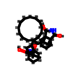 O=C1NC(=O)C23CCCCC12CC3CC1(C2CC34CCCCC23C(=O)NC4=O)CCCCCCCCCCCC1